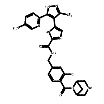 Nc1ccc(-c2[nH]nc(C(F)(F)F)c2-c2cnc(C(=O)NCc3ccc(C(=O)N4C5CNCC4C5)c(Cl)c3)[nH]2)nc1